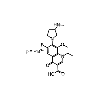 CCn1cc(C(=O)O)c(=O)c2cc(F)c(N3CCC(NC)C3)c(OC)c21.[B+3].[F-].[F-].[F-]